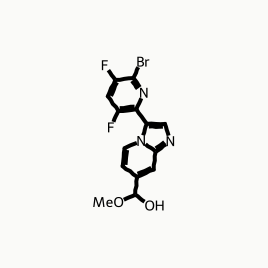 COC(O)c1ccn2c(-c3nc(Br)c(F)cc3F)cnc2c1